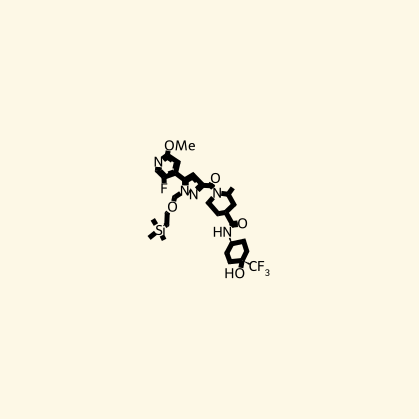 COc1cc(-c2cc(C(=O)N3CCC(C(=O)N[C@H]4CC[C@@](O)(C(F)(F)F)CC4)CC3C)nn2COCC[Si](C)(C)C)c(F)cn1